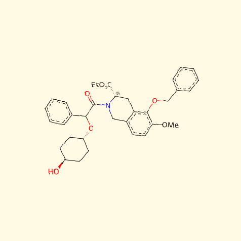 CCOC(=O)[C@@H]1Cc2c(ccc(OC)c2OCc2ccccc2)CN1C(=O)C(O[C@H]1CC[C@H](O)CC1)c1ccccc1